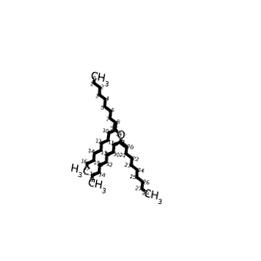 CCCCCCCC/C=C(\CCCCCCCC)O/C(=C/CCCCCCCC)CCCCCCCC